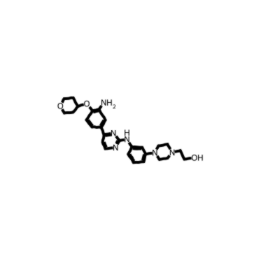 Nc1cc(-c2ccnc(Nc3cccc(N4CCN(CCO)CC4)c3)n2)ccc1OC1CCOCC1